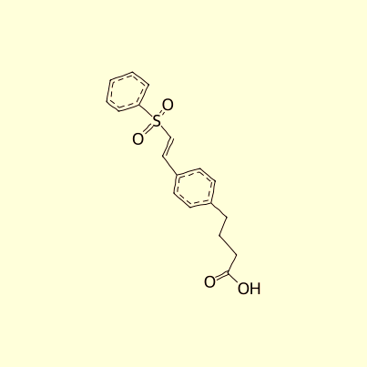 O=C(O)CCCc1ccc(/C=C/S(=O)(=O)c2ccccc2)cc1